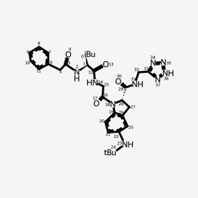 CC[C@H](C)[C@H](NC(=O)Cc1ccccc1)C(=O)NCC(=O)N1c2ccc(NC(C)(C)C)cc2C[C@H]1C(=O)NCc1nn[nH]n1